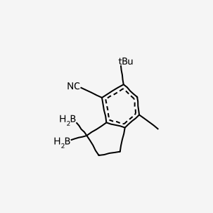 BC1(B)CCc2c(C)cc(C(C)(C)C)c(C#N)c21